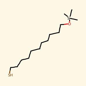 C[Si](C)(C)OCCCCCCCCCCCS